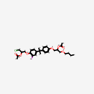 CCCCOCC(COC1=C=C=C(C(C)(C)c2ccc(OCC(CCl)OC(C)=O)c(I)c2)C=C1)OC(C)=O